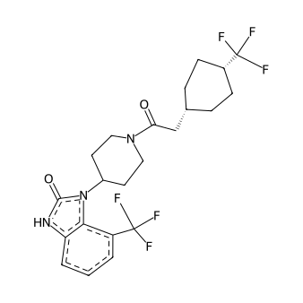 O=C(C[C@H]1CC[C@@H](C(F)(F)F)CC1)N1CCC(n2c(=O)[nH]c3cccc(C(F)(F)F)c32)CC1